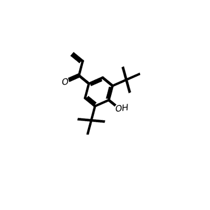 C=CC(=O)c1cc(C(C)(C)C)c(O)c(C(C)(C)C)c1